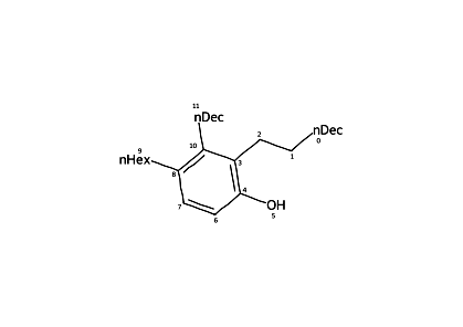 CCCCCCCCCCCCc1c(O)ccc(CCCCCC)c1CCCCCCCCCC